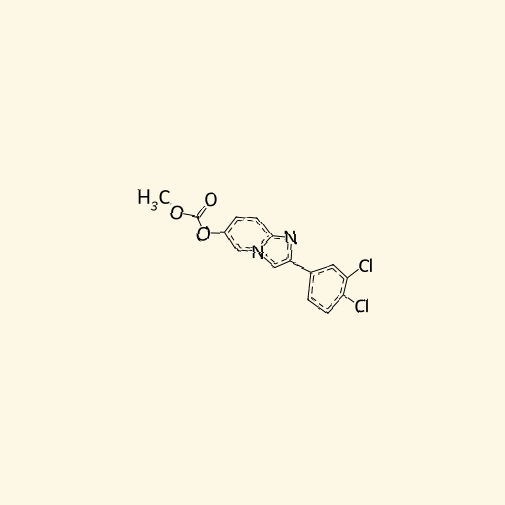 COC(=O)Oc1ccc2nc(-c3ccc(Cl)c(Cl)c3)cn2c1